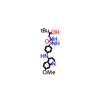 COc1ccc2c(Nc3ccc(S(=N)(=O)NC[C@H](O)C(C)(C)C)cc3)ccnc2c1